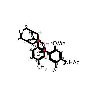 COc1cc(NC(C)=O)c(Cl)cc1C(=O)NC1CC2COCC(C1)N2Cc1ccc(C)cc1